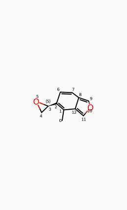 Cc1c([C@H]2CO2)ccc2cocc12